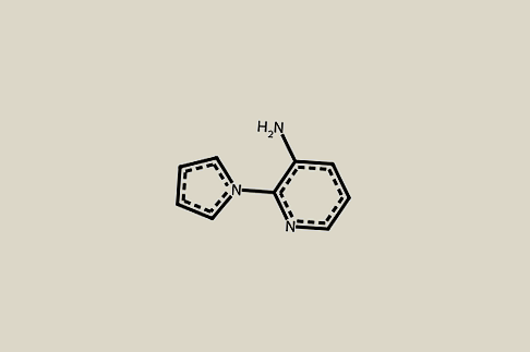 Nc1cccnc1-n1cccc1